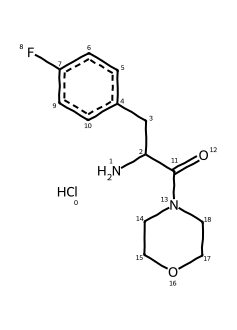 Cl.NC(Cc1ccc(F)cc1)C(=O)N1CCOCC1